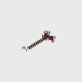 COc1ccc(C(NCCCC[C@H](NC(=O)COCC(=O)NCCOCCOCCOCCOCCOCCOCCOCCOCCN)C(=O)Nc2ccc(CO)cc2)(c2ccccc2)c2ccccc2)cc1